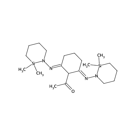 CC(=O)C1C(=NN2CCCC[Si]2(C)C)CCCC1=NN1CCCC[Si]1(C)C